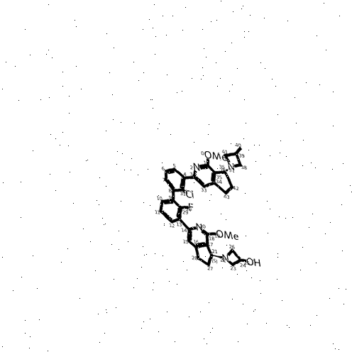 COc1nc(-c2cccc(-c3cccc(-c4cc5c(c(OC)n4)[C@@H](N4CC(O)C4)CC5)c3F)c2Cl)cc2c1[C@H](N1CC(C)C1)CC2